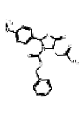 COc1ccc(C2OC(=O)[C@H](CC(N)=O)N2C(=O)OCc2ccccc2)cc1